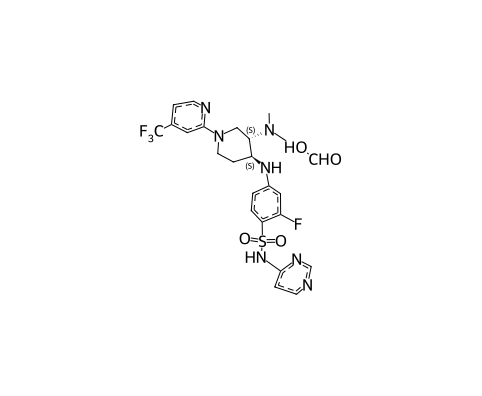 CN(C)[C@H]1CN(c2cc(C(F)(F)F)ccn2)CC[C@@H]1Nc1ccc(S(=O)(=O)Nc2ccncn2)c(F)c1.O=CO